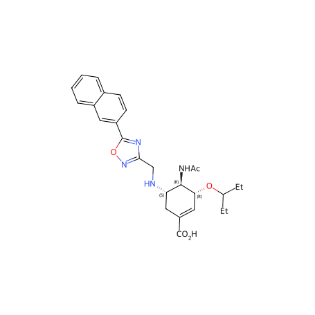 CCC(CC)O[C@@H]1C=C(C(=O)O)C[C@H](NCc2noc(-c3ccc4ccccc4c3)n2)[C@H]1NC(C)=O